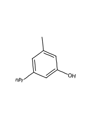 CCCc1cc(C)cc(O)c1